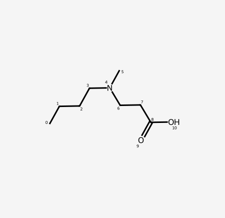 CCCCN(C)CCC(=O)O